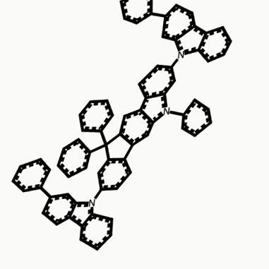 c1ccc(-c2ccc3c4ccccc4n(-c4ccc5c(c4)C(c4ccccc4)(c4ccccc4)c4cc6c7ccc(-n8c9ccccc9c9ccc(-c%10ccccc%10)cc98)cc7n(-c7ccccc7)c6cc4-5)c3c2)cc1